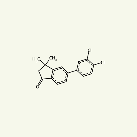 CC1(C)CC(=O)c2ccc(-c3ccc(Cl)c(Cl)c3)cc21